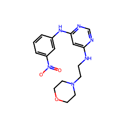 O=[N+]([O-])c1cccc(Nc2cc(NCCN3CCOCC3)ncn2)c1